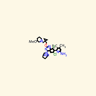 COC1CCCN(CC2(COc3nc(N4CC5CCC(C4)N5)c4cc(Cl)c(-c5nc(N)cc(C)c5C(F)(F)F)c(F)c4n3)CC2)C1